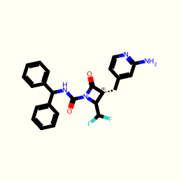 Nc1cc(C[C@H]2C(=O)N(C(=O)NC(c3ccccc3)c3ccccc3)C2C(F)F)ccn1